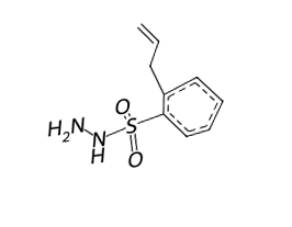 C=CCc1ccccc1S(=O)(=O)NN